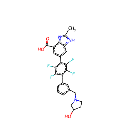 Cc1nc2c(C(=O)O)cc(-c3c(F)c(F)c(-c4cccc(CN5CC[C@@H](O)C5)c4)c(F)c3F)cc2[nH]1